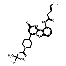 CC=CCC(=O)Nc1cccc2nn3c(C4CCN(C(=O)OC(C)(C)C)CC4)cc(=O)[nH]c3c12